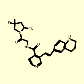 N#CC1CC(F)(F)CN1C(=O)CNC(=O)c1ccncc1C=Cc1ccc2c(c1)CCCN2